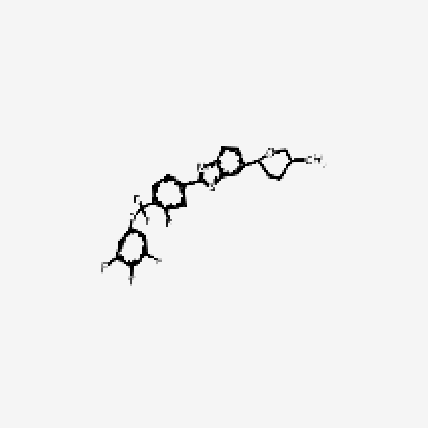 CC1CCC(c2ccc3nc(-c4ccc(C(F)(F)Oc5cc(F)c(F)c(F)c5)c(F)c4)sc3c2)OC1